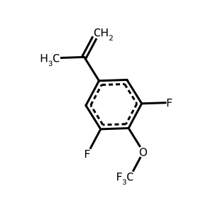 C=C(C)c1cc(F)c(OC(F)(F)F)c(F)c1